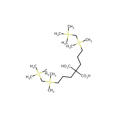 CS(C)(C)CS(C)(C)CCCC(CCCS(C)(C)CS(C)(C)C)(C(=O)O)C(=O)O